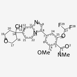 CNC(=O)c1c(OC)cc(-c2cnc3cc(C4(C)CCOCC4)ccn23)cc1OC(F)F